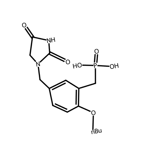 CCCCOc1ccc(CN2CC(=O)NC2=O)cc1CP(=O)(O)O